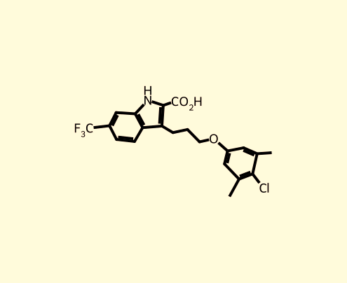 Cc1cc(OCCCc2c(C(=O)O)[nH]c3cc(C(F)(F)F)ccc23)cc(C)c1Cl